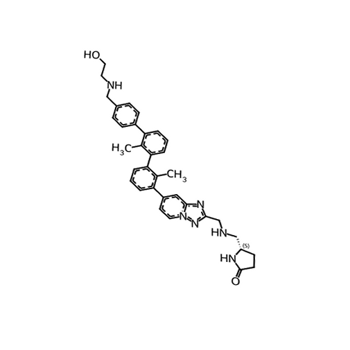 Cc1c(-c2ccc(CNCCO)cc2)cccc1-c1cccc(-c2ccn3nc(CNC[C@@H]4CCC(=O)N4)nc3c2)c1C